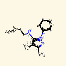 COCCNc1c(C#N)c(C)nn1-c1ccccc1